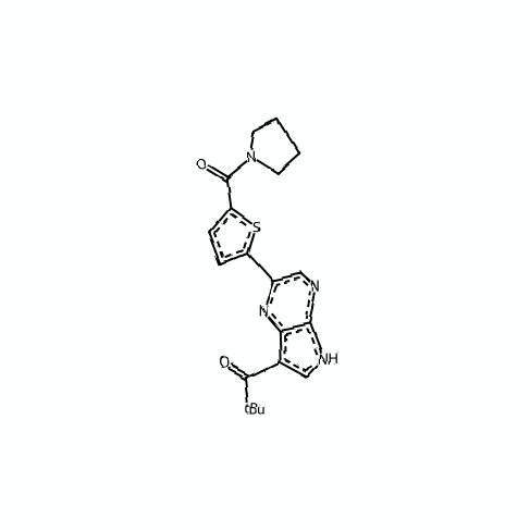 CC(C)(C)C(=O)c1c[nH]c2ncc(-c3ccc(C(=O)N4CCCC4)s3)nc12